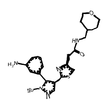 CC(C)(C)n1ncc(-c2nc(CC(=O)NCC3CCOCC3)cs2)c1-c1cccc(N)c1